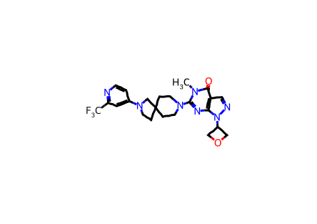 Cn1c(N2CCC3(CCN(c4ccnc(C(F)(F)F)c4)C3)CC2)nc2c(cnn2C2COC2)c1=O